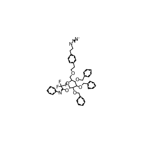 [N-]=[N+]=NCCc1ccc(CCOCC2O[C@@H](O/C(=N/c3ccccc3)C(F)(F)F)C(OCc3ccccc3)C(OCc3ccccc3)[C@H]2OCc2ccccc2)cc1